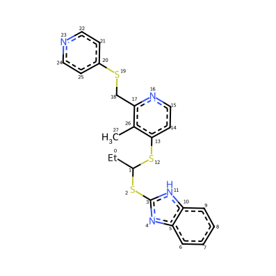 CCC(Sc1nc2ccccc2[nH]1)Sc1ccnc(CSc2ccncc2)c1C